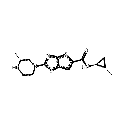 C[C@@H]1CN(c2nc3sc(C(=O)N[C@H]4C[C@@H]4C)cc3s2)CCN1